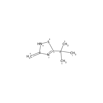 C=C1N=C(C(C)(C)C)SN1